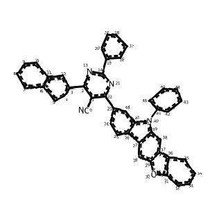 N#Cc1c(-c2ccc3ccccc3c2)nc(-c2ccccc2)nc1-c1ccc2c3cc4oc5ccccc5c4cc3n(-c3ccccc3)c2c1